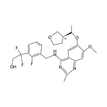 COc1cc2nc(C)nc(NCc3cccc(C(F)(F)CO)c3F)c2cc1OC(C)[C@H]1CCOC1